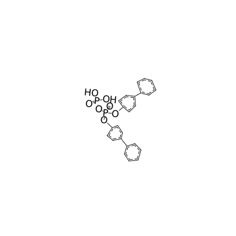 O=P(O)(O)OP(=O)(Oc1ccc(-c2ccccc2)cc1)Oc1ccc(-c2ccccc2)cc1